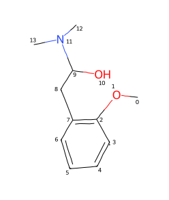 COc1[c]cccc1CC(O)N(C)C